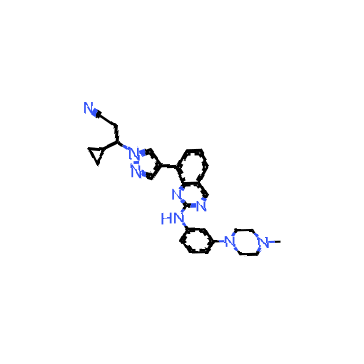 CN1CCN(c2cccc(Nc3ncc4cccc(-c5cnn(C(CC#N)C6CC6)c5)c4n3)c2)CC1